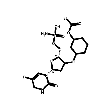 CCC(=O)OC1CCCC(OC2C[C@H](N3C=C(F)CNC3=O)O[C@@H]2COP(N)(=O)O)C1